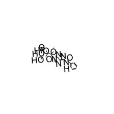 CO[C@@H]1[C@H](O[PH](=O)O)[C@@H](CO)O[C@H]1n1cnc2c(NC(=O)c3ccccc3)ncnc21